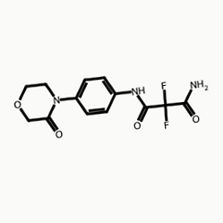 NC(=O)C(F)(F)C(=O)Nc1ccc(N2CCOCC2=O)cc1